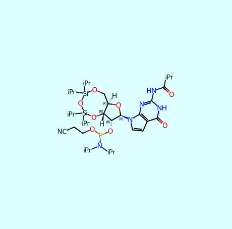 CC(C)C(=O)Nc1nc2c(ccn2[C@@H]2O[C@@H]3CO[Si](C(C)C)(C(C)C)O[Si](C(C)C)(C(C)C)O[C@H]3[C@H]2OP(OCCC#N)N(C(C)C)C(C)C)c(=O)[nH]1